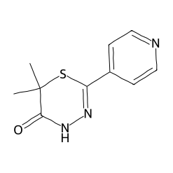 CC1(C)SC(c2ccncc2)=NNC1=O